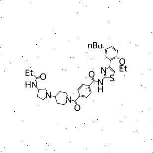 CCCCc1ccc(OCC)c(-c2csc(NC(=O)c3ccc(C(=O)N4CCC(N5CCC(NC(=O)CC)C5)CC4)cc3)n2)c1